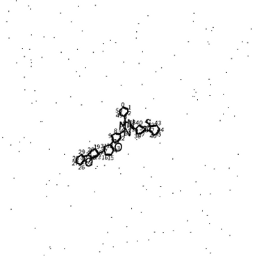 c1ccc(-c2nc(-c3ccc4c(c3)oc3ccc(-c5ccc6c(c5)oc5ccccc56)cc34)nc(-c3ccc4c(c3)sc3ccccc34)n2)cc1